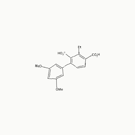 CCc1c(C(=O)O)ccc(-c2cc(OC)cc(OC)c2)c1C(=O)O